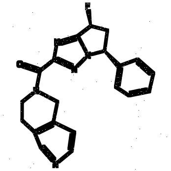 O=C(c1nc2n(n1)[C@H](c1ccccc1)C[C@@H]2F)N1CCc2cnccc2C1